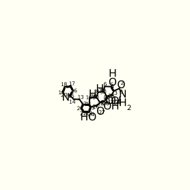 NC(=O)C1=C(O)C[C@@H]2C[C@@H]3Cc4c(CCc5ccccn5)ccc(O)c4C(=O)C3=C(O)[C@]2(O)C1=O